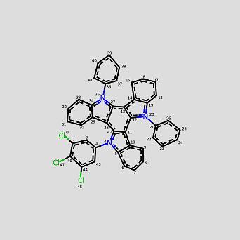 Clc1cc(-n2c3ccccc3c3c4c(c5ccccc5n4-c4ccccc4)c4c(c5ccccc5n4-c4ccccc4)c32)cc(Cl)c1Cl